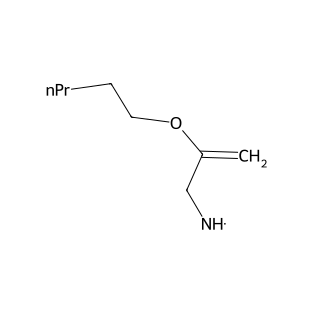 C=C(C[NH])OCCCCC